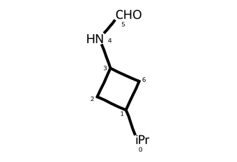 CC(C)C1CC(NC=O)C1